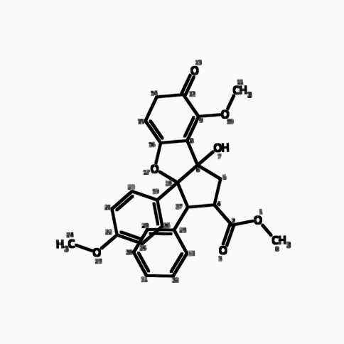 COC(=O)C1CC2(O)C3=C(OC)C(=O)CC=C3OC2(c2ccc(OC)cc2)C1c1ccccc1